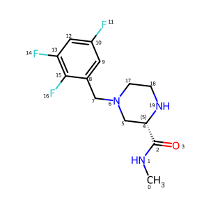 CNC(=O)[C@@H]1CN(Cc2cc(F)cc(F)c2F)CCN1